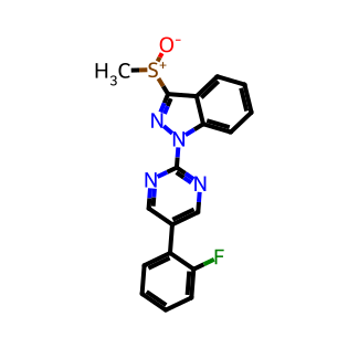 C[S+]([O-])c1nn(-c2ncc(-c3ccccc3F)cn2)c2ccccc12